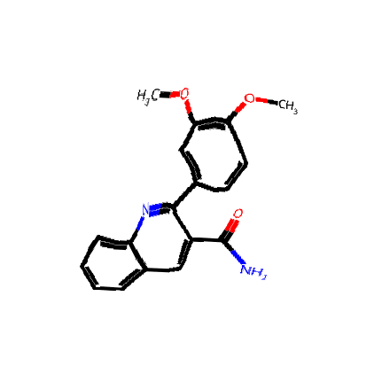 COc1ccc(-c2nc3ccccc3cc2C(N)=O)cc1OC